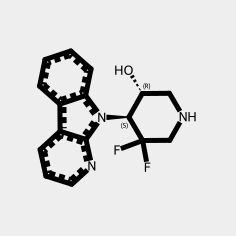 O[C@@H]1CNCC(F)(F)[C@H]1n1c2ccccc2c2cccnc21